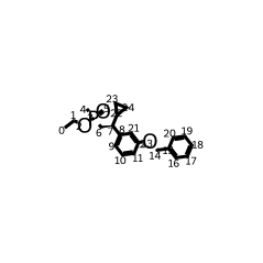 CCOP(C)(=O)C[C@H](c1cccc(OCc2ccccc2)c1)C1CC1